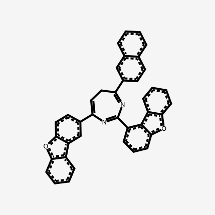 C1=C(c2ccc3oc4ccccc4c3c2)N=C(c2cccc3oc4ccccc4c23)N=C(c2ccc3ccccc3c2)C1